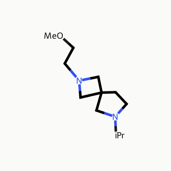 COCCN1CC2(CCN(C(C)C)C2)C1